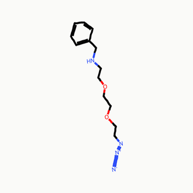 [N-]=[N+]=NCCOCCOCCNCc1ccccc1